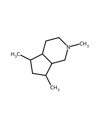 CC1CC(C)C2CN(C)CCC12